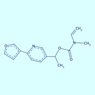 C=CN(C)C(=O)OC(C)c1ccc(-c2ccoc2)nc1